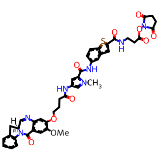 COc1cc2c(cc1OCCCC(=O)Nc1cc(C(=O)Nc3ccc4sc(C(=O)NCCC(=O)ON5C(=O)CCC5=O)cc4c3)n(C)c1)N=C[C@@H]1Cc3ccccc3N1C2=O